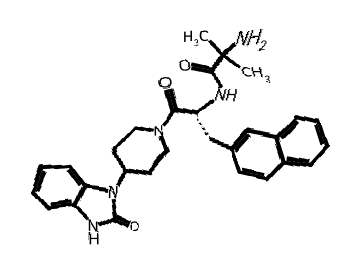 CC(C)(N)C(=O)N[C@H](Cc1ccc2ccccc2c1)C(=O)N1CCC(n2c(=O)[nH]c3ccccc32)CC1